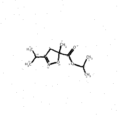 CC(C)OC(=O)C1(C)CC(C(C)C)=NO1